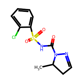 CC1CC=NN1C(=O)NS(=O)(=O)c1ccccc1Cl